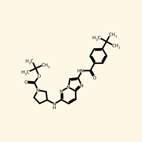 CC(C)(C)OC(=O)N1CCC(Nc2ccc3nc(NC(=O)c4ccc(C(C)(C)C)cc4)cn3n2)C1